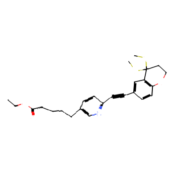 CCOC(=O)CCCCc1ccc(C#Cc2ccc3c(c2)C(SC)(SC)CCO3)nc1